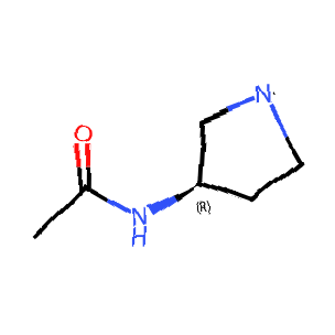 CC(=O)N[C@@H]1CC[N]C1